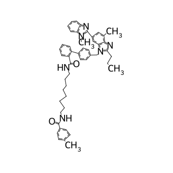 CCCc1nc2c(C)cc(-c3nc4ccccc4n3C)cc2n1Cc1ccc(-c2ccccc2C(=O)NCCCCCCCCNC(=O)c2ccc(C)cc2)cc1